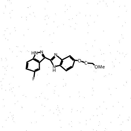 COCCOc1ccc2[nH]c(-c3n[nH]c4ccc(F)cc34)nc2c1